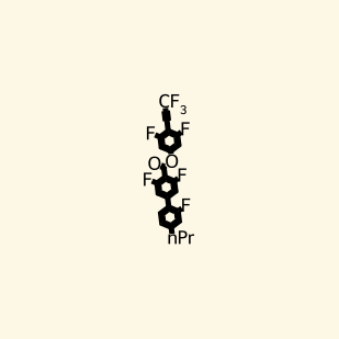 CCCc1ccc(-c2cc(F)c(C(=O)Oc3cc(F)c(C#CC(F)(F)F)c(F)c3)c(F)c2)c(F)c1